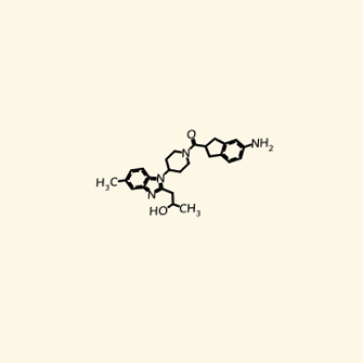 Cc1ccc2c(c1)nc(CC(C)O)n2C1CCN(C(=O)C2Cc3ccc(N)cc3C2)CC1